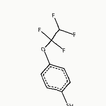 FC(F)C(F)(F)Oc1ccc(S)cc1